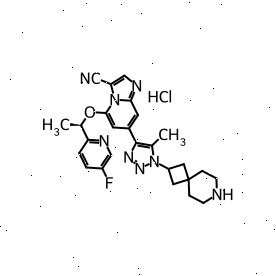 Cc1c(-c2cc(O[C@H](C)c3ccc(F)cn3)n3c(C#N)cnc3c2)nnn1C1CC2(CCNCC2)C1.Cl